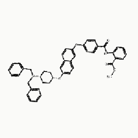 COC(=O)c1ccccc1NC(=O)c1ccc(Oc2ccc3cc(O[C@H]4CC[C@@H](N(Cc5ccccc5)Cc5ccccc5)CC4)ccc3c2)cc1